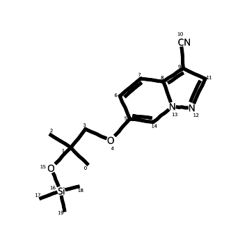 CC(C)(COc1ccc2c(C#N)cnn2c1)O[Si](C)(C)C